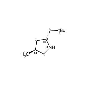 C[C@@H]1CN[C@@H](CC(C)(C)C)C1